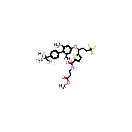 COC(=O)CCNC(=O)c1ccc(C(CCC(F)(F)F)Oc2cc(C)c(-c3ccc(C(C)(C)C)cc3)c(C)c2)s1